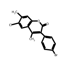 Cc1cc2oc(=O)c(-c3ccc(Br)cc3)c(C)c2cc1Cl